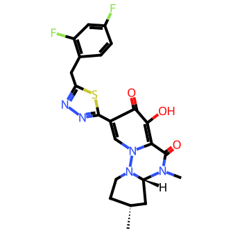 C[C@@H]1CCN2[C@@H](C1)N(C)C(=O)c1c(O)c(=O)c(-c3nnc(Cc4ccc(F)cc4F)s3)cn12